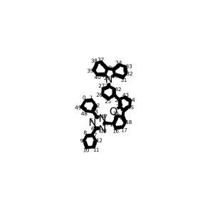 c1ccc(-c2nc(-c3ccccc3)nc(-c3cccc4c3oc3c(-c5cccc(-n6c7ccccc7c7ccccc76)c5)cccc34)n2)cc1